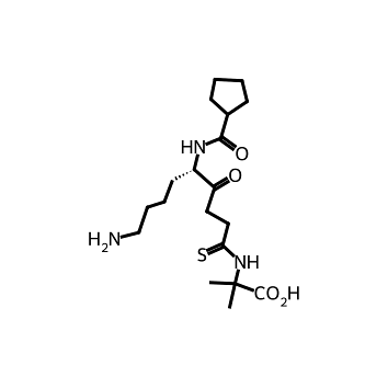 CC(C)(NC(=S)CCC(=O)[C@H](CCCCN)NC(=O)C1CCCC1)C(=O)O